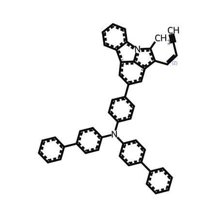 C#C/C=C\c1c(C)n2c3ccccc3c3cc(-c4ccc(N(c5ccc(-c6ccccc6)cc5)c5ccc(-c6ccccc6)cc5)cc4)cc1c32